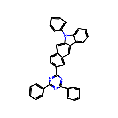 c1ccc(-c2nc(-c3ccccc3)nc(-c3ccc4cc5c(cc4c3)c3ccccc3n5-c3ccccc3)n2)cc1